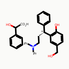 CC(C)N(CC[C@H](c1ccccc1)c1cc(CO)ccc1O)C(C)C.O=C(O)C(O)c1ccccc1